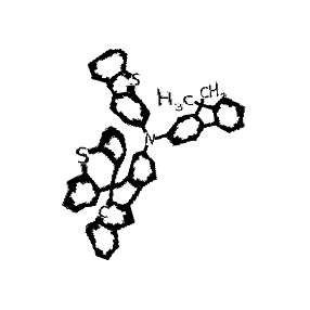 CC1(C)c2ccccc2-c2ccc(N(c3ccc4c(c3)C3(c5ccccc5Sc5ccccc53)c3cc5ccccc5cc3-4)c3ccc4c(c3)sc3ccccc34)cc21